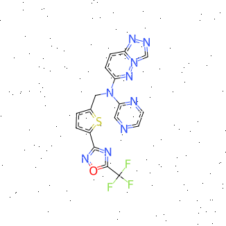 FC(F)(F)c1nc(-c2ccc(CN(c3cnccn3)c3ccc4nncn4n3)s2)no1